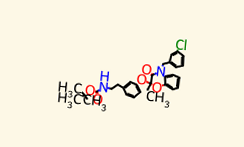 CCC1(Oc2cccc(CCNC(=O)OC(C)(C)C)c2)Oc2ccccc2N(Cc2cccc(Cl)c2)C1=O